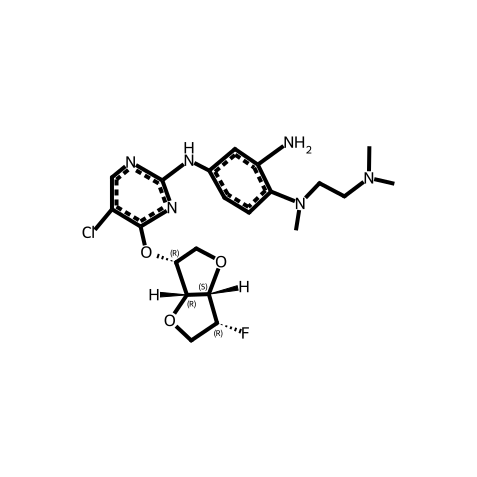 CN(C)CCN(C)c1ccc(Nc2ncc(Cl)c(O[C@@H]3CO[C@H]4[C@@H]3OC[C@H]4F)n2)cc1N